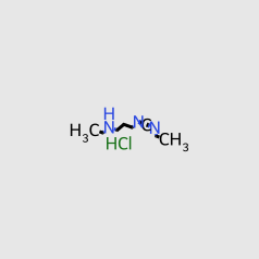 CCN=C=NCCCNCC.Cl